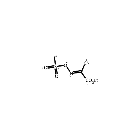 CCOC(=O)C(C#N)=NOS(C)(=O)=O